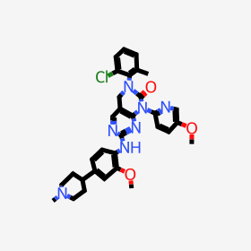 COc1ccc(N2C(=O)N(c3c(C)cccc3Cl)Cc3cnc(Nc4ccc(C5CCN(C)CC5)cc4OC)nc32)nc1